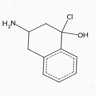 NC1Cc2ccccc2C(O)(Cl)C1